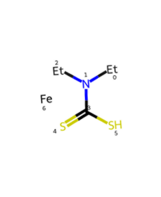 CCN(CC)C(=S)S.[Fe]